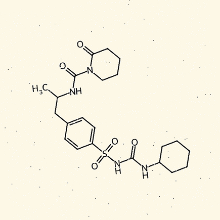 CC(Cc1ccc(S(=O)(=O)NC(=O)NC2CCCCC2)cc1)NC(=O)N1CCCCC1=O